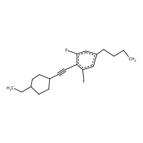 CCCCc1cc(F)c(C#CC2CCC(CC)CC2)c(F)c1